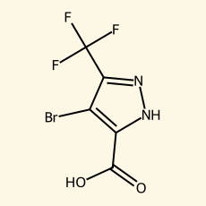 O=C(O)c1[nH]nc(C(F)(F)F)c1Br